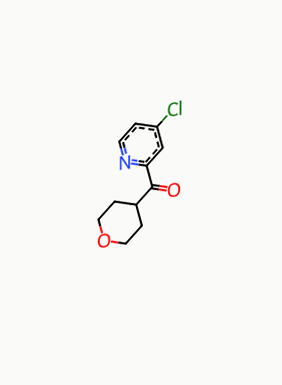 O=C(c1cc(Cl)ccn1)C1CCOCC1